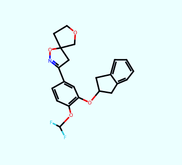 FC(F)Oc1ccc(C2=NOC3(CCOC3)C2)cc1OC1Cc2ccccc2C1